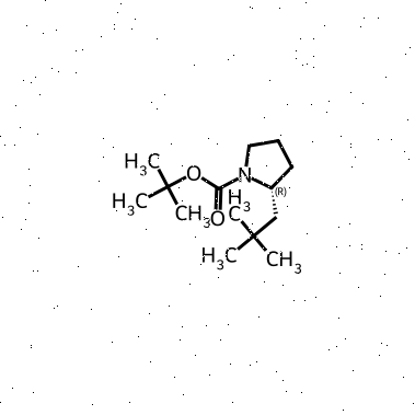 CC(C)(C)C[C@H]1CCCN1C(=O)OC(C)(C)C